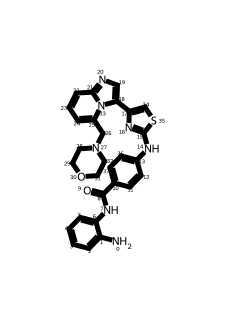 Nc1ccccc1NC(=O)c1ccc(Nc2nc(-c3cnc4cccc(CN5CCOCC5)n34)cs2)cc1